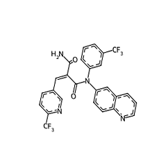 NC(=O)/C(=C/c1ccc(C(F)(F)F)nc1)C(=O)N(c1cccc(C(F)(F)F)c1)c1ccc2ncccc2c1